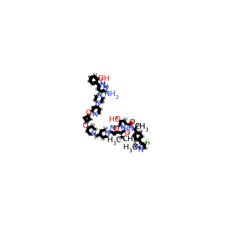 CC(C)[C@@H](C(=O)N1C[C@H](O)C[C@H]1C(=O)N[C@@H](C)c1ccc(-c2c(F)cnn2C)cc1)c1cc(N2CCC(CN3CCC(O[C@H]4C[C@H](Oc5cc(N6CCN(c7cc(-c8ccccc8O)nnc7N)CC6)ccn5)C4)CC3)CC2)no1